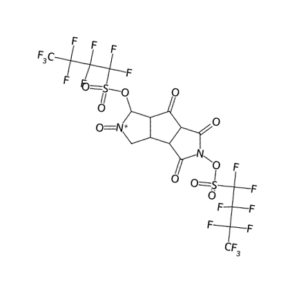 O=C1C2C(=O)N(OS(=O)(=O)C(F)(F)C(F)(F)C(F)(F)C(F)(F)F)C(=O)C2C2C[N+](=O)C(OS(=O)(=O)C(F)(F)C(F)(F)C(F)(F)C(F)(F)F)C12